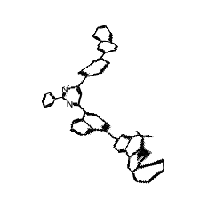 CC1(C)c2cc(-c3ccc(-c4cc(-c5ccc(-c6ccc7ccccc7c6)cc5)nc(-c5ccccc5)n4)c4ccccc34)ccc2-c2cc3ccccc3cc21